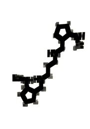 CCNC1CCCC1CNCCCNCC1CCCC1NCC